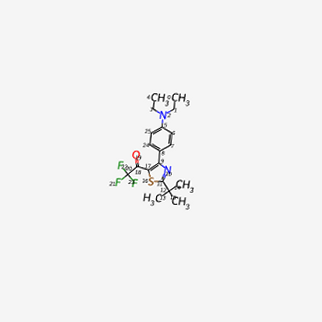 CCN(CC)c1ccc(-c2nc(C(C)(C)C)sc2C(=O)C(F)(F)F)cc1